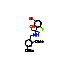 COc1ccc(CNC(C)(CO)c2cc(Br)ccc2F)c(OC)c1